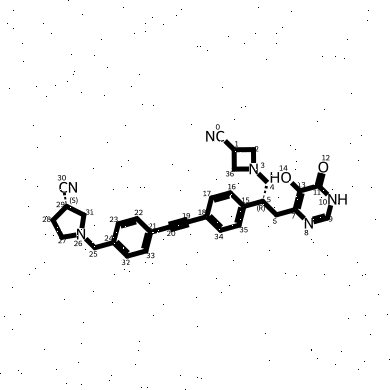 N#CC1CN(C[C@H](Cc2nc[nH]c(=O)c2O)c2ccc(C#Cc3ccc(CN4CC[C@H](C#N)C4)cc3)cc2)C1